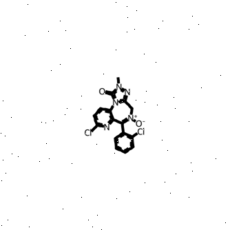 Cn1nc2n(c1=O)-c1ccc(Cl)nc1C(c1ccccc1Cl)=[N+]([O-])C2